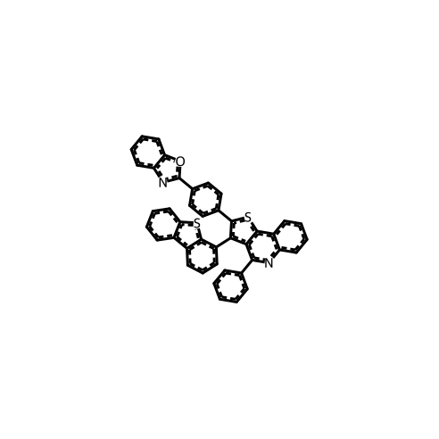 c1ccc(-c2nc3ccccc3c3sc(-c4ccc(-c5nc6ccccc6o5)cc4)c(-c4cccc5c4sc4ccccc45)c23)cc1